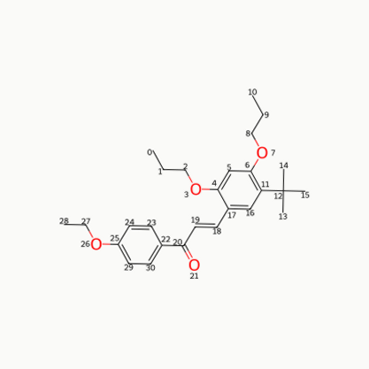 CCCOc1cc(OCCC)c(C(C)(C)C)cc1C=CC(=O)c1ccc(OCC)cc1